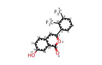 O=c1oc(-c2cccc(C(F)(F)F)c2C(F)(F)F)cc2ccc(O)cc12